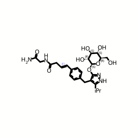 CC(C)c1[nH]nc(O[C@@H]2O[C@H](CO)[C@@H](O)[C@H](O)[C@H]2O)c1Cc1ccc(/C=C/CC(=O)NCC(N)=O)cc1